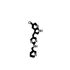 Clc1cnc2c(c1)C(Cc1cnc(NCc3cccnc3)nc1)CN2